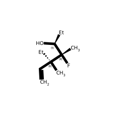 C=C[C@@](C)(CC)[C@@](C)(F)[C@@H](O)CC